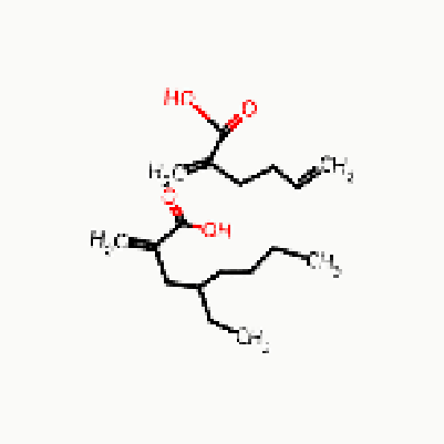 C=C(CC(CC)CCCC)C(=O)O.C=CCCC(=C)C(=O)O